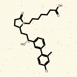 Cc1cc(Cl)ccc1-c1cccc([C@H](O)CCC2CCC(=O)N2CCCCCCC(=O)O)c1